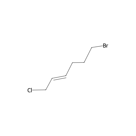 ClCC=CCCCBr